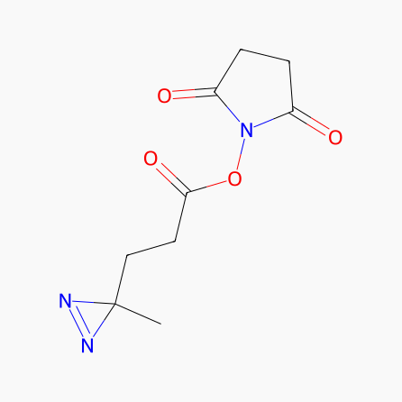 CC1(CCC(=O)ON2C(=O)CCC2=O)N=N1